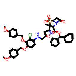 COc1ccc(COc2ccc(NCc3cc(C4(C)C(C(=O)OC(c5ccccc5)c5ccccc5)N5C(=O)CC5S4(=O)=O)no3)c(Cl)c2OCc2ccc(OC)cc2)cc1